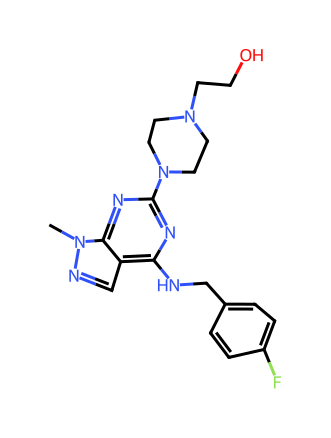 Cn1ncc2c(NCc3ccc(F)cc3)nc(N3CCN(CCO)CC3)nc21